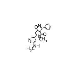 CNc1cncc(-c2cc3onc(-c4ccccc4)c3c(=O)n2C)c1